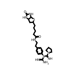 N=C(N)N(C(=N)N1CCCC1)c1ccc(CCNC(=O)CCCCC2CC3NC(=O)NC3S2)cc1